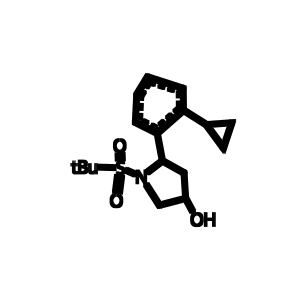 CC(C)(C)S(=O)(=O)N1CC(O)CC1c1ccccc1C1CC1